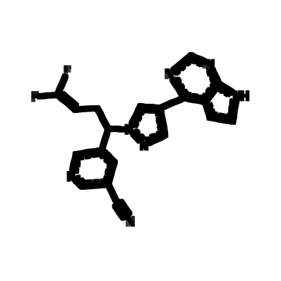 N#Cc1cncc(C(CC=C(F)F)n2cc(-c3ncnc4[nH]ccc34)cn2)c1